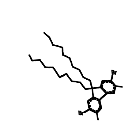 CCCCCCCCCCC1(CCCCCCCCCC)c2cc(Br)c(C)cc2-c2cc(C)c(Br)cc21